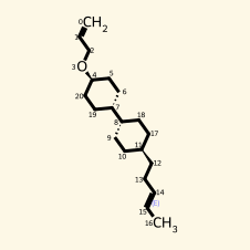 C=CCO[C@H]1CC[C@H]([C@H]2CC[C@H](CC/C=C/C)CC2)CC1